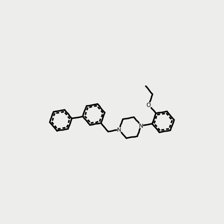 CCOc1ccccc1N1CCN(Cc2cccc(-c3ccccc3)c2)CC1